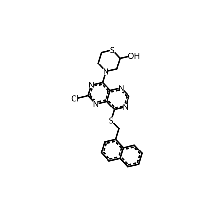 OC1CN(c2nc(Cl)nc3c(SCc4cccc5ccccc45)ncnc23)CCS1